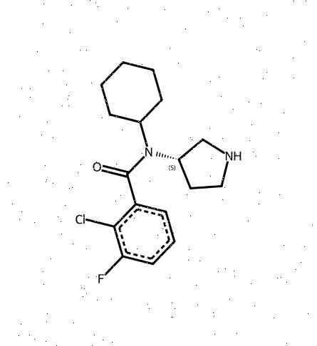 O=C(c1cccc(F)c1Cl)N(C1CCCCC1)[C@H]1CCNC1